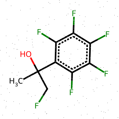 CC(O)(CF)c1c(F)c(F)c(F)c(F)c1F